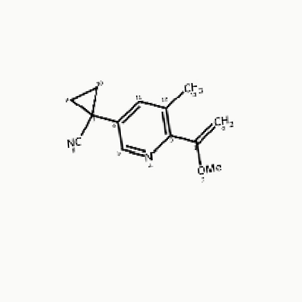 C=C(OC)c1ncc(C2(C#N)CC2)cc1C